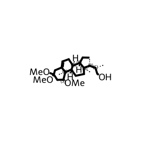 CO[C@H]1CC(OC)(OC)CC2=CC[C@H]3[C@@H]4CC[C@H]([C@H](C)CO)[C@@]4(C)CC[C@@H]3[C@]21C